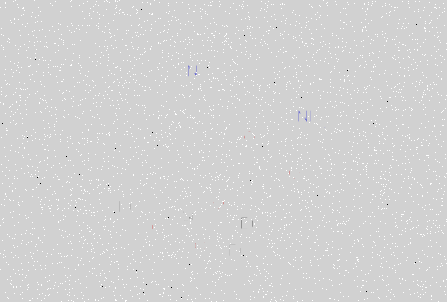 CCO[Si](CC(CCN(C)C)COC(N)=O)(OCC)OCC